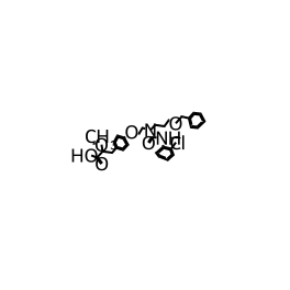 CCOC(Cc1ccc(OCCN(CCCOCc2ccccc2)C(=O)Nc2ccccc2Cl)cc1)C(=O)O